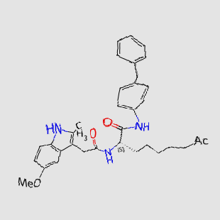 COc1ccc2[nH]c(C)c(CC(=O)N[C@@H](CCCCCC(C)=O)C(=O)Nc3ccc(-c4ccccc4)cc3)c2c1